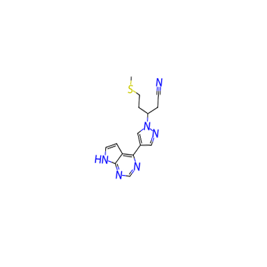 CSCCC(CC#N)n1cc(-c2ncnc3[nH]ccc23)cn1